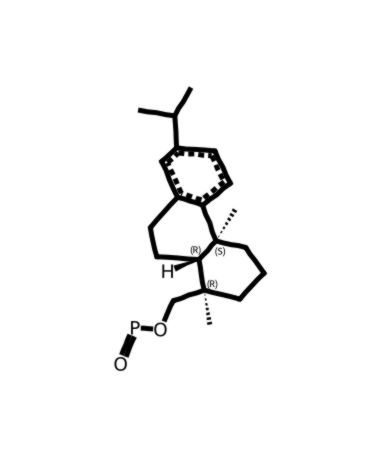 CC(C)c1ccc2c(c1)CC[C@H]1[C@](C)(COP=O)CCC[C@]21C